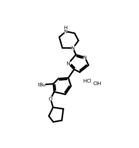 CC(C)(C)c1cc(-c2ccnc(N3CCNCC3)n2)ccc1OC1CCCC1.Cl.Cl